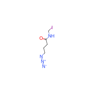 [N-]=[N+]=NCCCC(=O)NCI